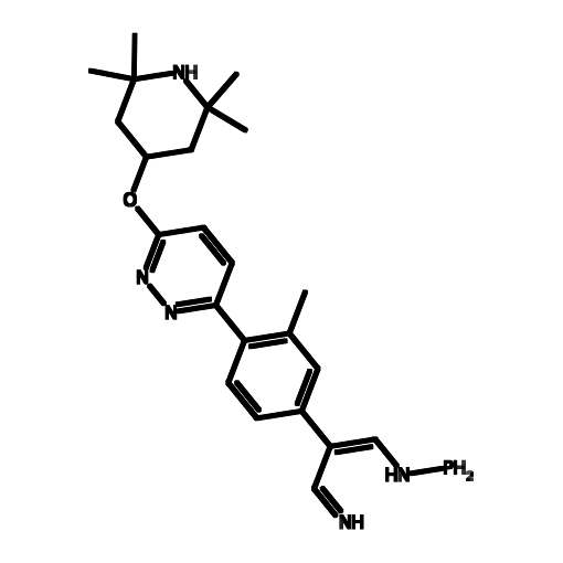 Cc1cc(/C(C=N)=C/NP)ccc1-c1ccc(OC2CC(C)(C)NC(C)(C)C2)nn1